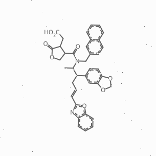 CC(C(CC=Cc1nc2ccccc2o1)c1ccc2c(c1)OCO2)N(Cc1ccc2ccccc2c1)C(=O)C1COC(=O)C1CC(=O)O